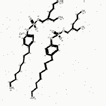 CCCCCCCCCc1ccc(OP(=O)([O-])OCC(CC)CCCC)cc1.CCCCCCCCCc1ccc(OP(=O)([O-])OCC(CC)CCCC)cc1.[Co+2]